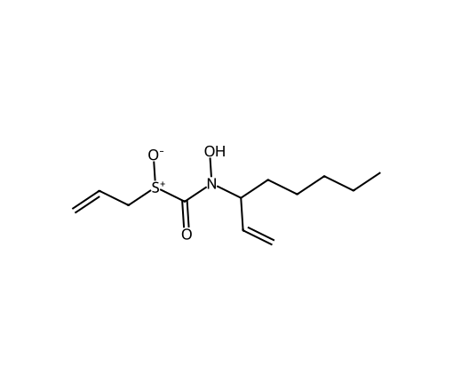 C=CC[S+]([O-])C(=O)N(O)C(C=C)CCCCC